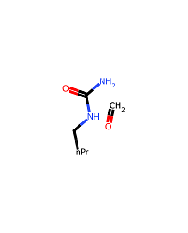 C=O.CCCCNC(N)=O